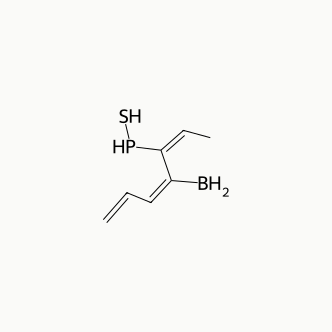 BC(=C/C=C)/C(=C\C)PS